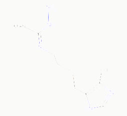 CN/C(=N/CCSCc1[nH]cnc1C)NN